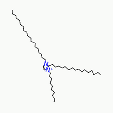 CCCCCCCCCCCCCCCCCCCn1cc[n+](CCCCCCCCCC)c1CCCCCCCCCCCCCCCC